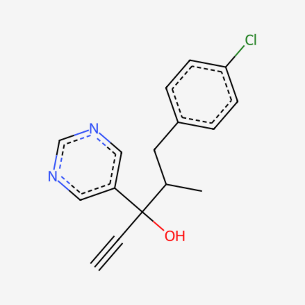 C#CC(O)(c1cncnc1)C(C)Cc1ccc(Cl)cc1